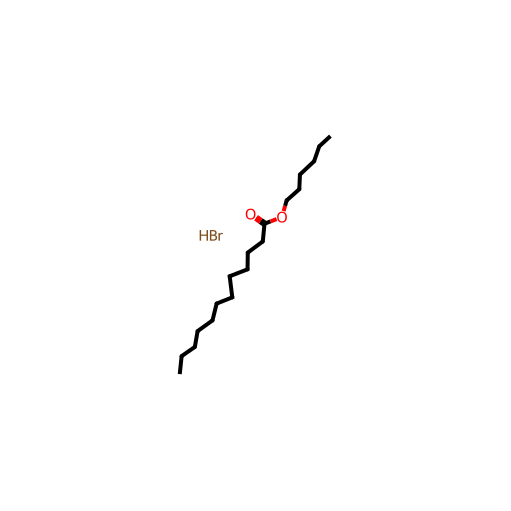 Br.CCCCCCCCCCCC(=O)OCCCCCC